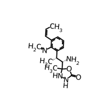 C=Nc1c(/C=C\C)cccc1[C@@H](C)[C@H](N)C1(C)NNC(=O)O1